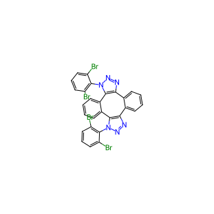 Brc1cccc(Br)c1-n1nnc2c1-c1ccccc1-c1c(nnn1-c1c(Br)cccc1Br)-c1ccccc1-2